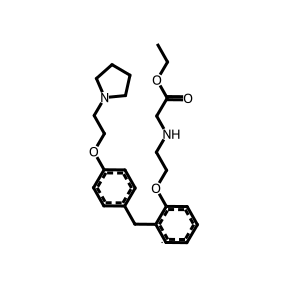 CCOC(=O)CNCCOc1ccc[c]c1Cc1ccc(OCCN2CCCC2)cc1